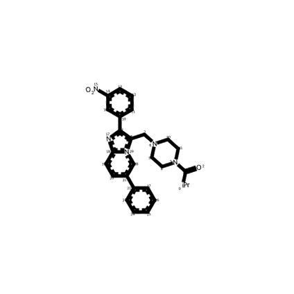 CC(C)C(=O)N1CCN(Cc2c(-c3cccc([N+](=O)[O-])c3)nc3ccc(-c4ccccc4)cn23)CC1